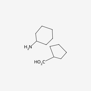 NC1CCCCC1.O=C(O)C1CCCC1